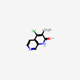 CCOC(=O)c1c(Cl)c2ccncc2[nH]c1=O